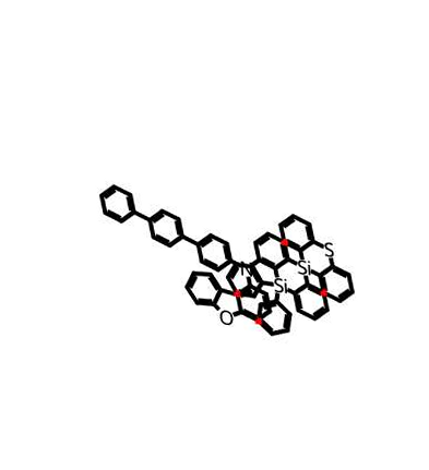 c1ccc(-c2ccc(-c3ccc(N(c4cccc5c4[Si](c4ccccc4)(c4ccccc4)c4ccccc4[Si]54c5ccccc5Sc5ccccc54)c4cccc5oc6ccccc6c45)cc3)cc2)cc1